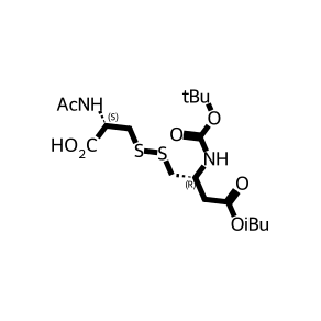 CC(=O)N[C@H](CSSC[C@@H](CC(=O)OCC(C)C)NC(=O)OC(C)(C)C)C(=O)O